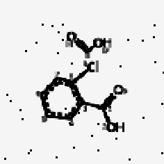 O=C(O)c1ccccc1Cl.O=CO